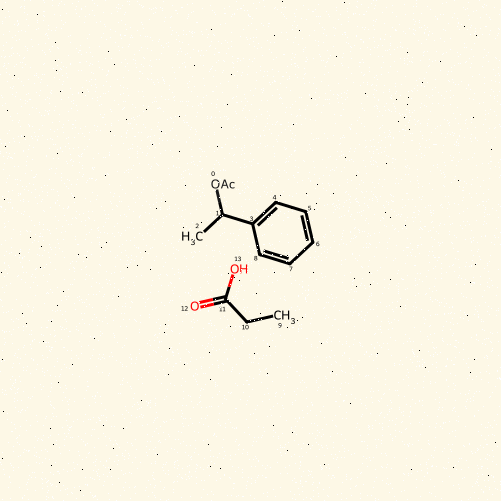 CC(=O)OC(C)c1ccccc1.CCC(=O)O